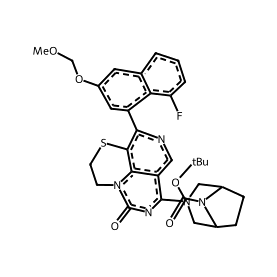 COCOc1cc(-c2ncc3c(N4CC5CCC(C4)N5C(=O)OC(C)(C)C)nc(=O)n4c3c2SCC4)c2c(F)cccc2c1